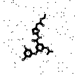 CCOC(=O)Cc1csc(NC(=O)c2cc(Oc3cc(F)cc(Cl)c3)nc(OC(C)C)c2)n1